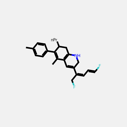 CCCC1CC2=C(C=C(/C(=C\C=C\F)CF)CN2)C(C)=C1c1ccc(C)cc1